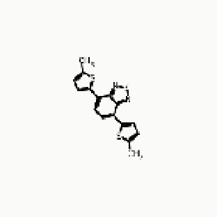 Cc1ccc(-c2ccc(-c3ccc(C)s3)c3nsnc23)s1